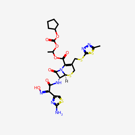 Cc1nnc(SCC2=C(C(=O)OC(C)OC(=O)OC3CCCC3)N3C(=O)[C@@H](NC(=O)/C(=N\O)c4csc(N)n4)[C@@H]3SC2)s1